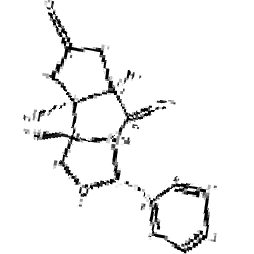 O=C1C[C@@H]2[C@H]3CO[C@@H](c4ccccc4)N3C(=O)[C@@H]2C1